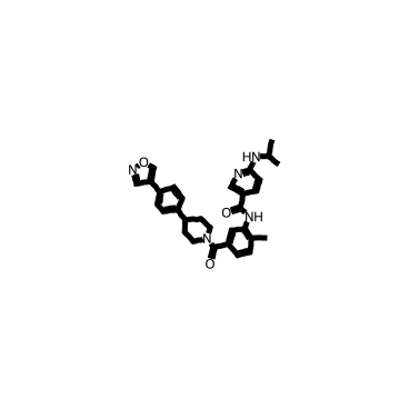 Cc1ccc(C(=O)N2CCC(c3ccc(-c4cnoc4)cc3)CC2)cc1NC(=O)c1ccc(NC(C)C)nc1